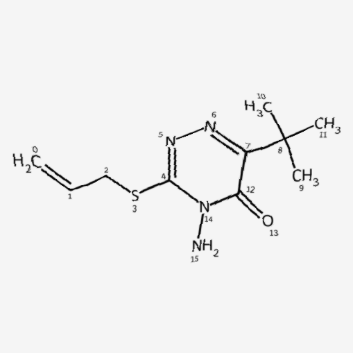 C=CCSc1nnc(C(C)(C)C)c(=O)n1N